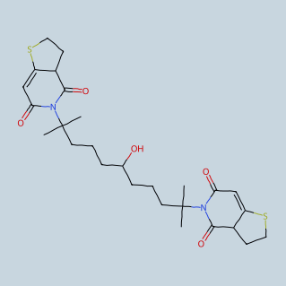 CC(C)(CCCC(O)CCCC(C)(C)N1C(=O)C=C2SCCC2C1=O)N1C(=O)C=C2SCCC2C1=O